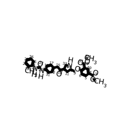 COC(=O)c1ccc(OCC2CC(C(=O)Cc3ccc(NC(=O)Nc4ccccc4C)cc3)CN2)c(C(=O)OC)c1